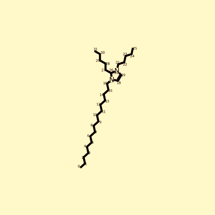 CCCCCCCCCCCCCCCCCN1C=CN(CCCCC)C1CCCCC